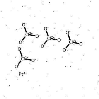 [O-][Cl+2]([O-])[O-].[O-][Cl+2]([O-])[O-].[O-][Cl+2]([O-])[O-].[O-][Cl+2]([O-])[O-].[Pt+4]